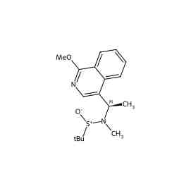 COc1ncc([C@@H](C)N(C)[S+]([O-])C(C)(C)C)c2ccccc12